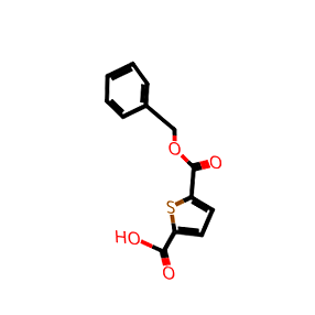 O=C(O)c1ccc(C(=O)OCc2ccccc2)s1